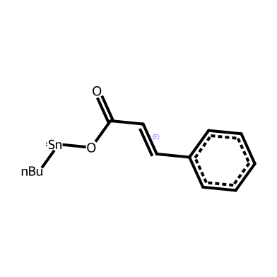 CCC[CH2][Sn][O]C(=O)/C=C/c1ccccc1